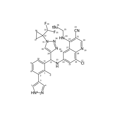 Cc1c(-c2cn[nH]c2)cccc1C(Nc1cc(Cl)c2ncc(C#N)c(NCC(C)(C)C)c2c1)c1cn(C2(C(F)F)CC2)nn1